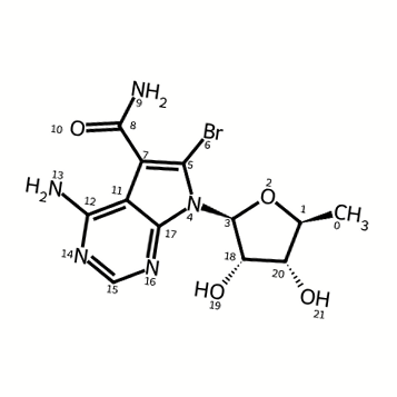 C[C@@H]1O[C@H](n2c(Br)c(C(N)=O)c3c(N)ncnc32)[C@@H](O)[C@H]1O